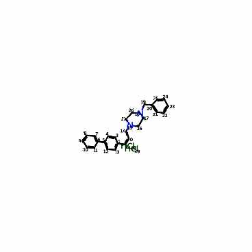 C(=C/c1ccc(-c2ccccc2)cc1)/CN1CCN(Cc2ccccc2)CC1.Cl.Cl